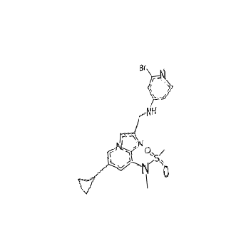 CN(c1cc(C2CC2)cn2cc(CNc3ccnc(Br)c3)nc12)S(C)(=O)=O